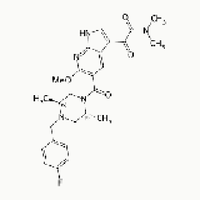 COc1nc2[nH]cc(C(=O)C(=O)N(C)C)c2cc1C(=O)N1C[C@H](C)N(Cc2ccc(F)cc2)C[C@H]1C